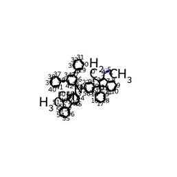 C=CC1=C(/C=C\C)c2ccccc2C1(c1ccccc1)c1ccc(N(c2cc(-c3ccccc3)cc(-c3ccccc3)c2)c2ccc3c(c2)C(C)(C)c2ccccc2-3)cc1